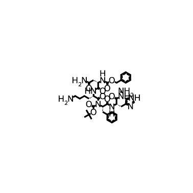 CC(C)(C)OC(=O)N(C(=O)[C@H](CCCCN)NC(=O)[C@H](CC(N)=O)NC(=O)OCc1ccccc1)[C@@H](Cc1ccccc1)C(=O)N[C@@H](Cc1c[nH]cn1)C(=O)NN